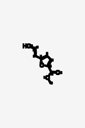 COC(=O)c1ccc(C=NO)o1